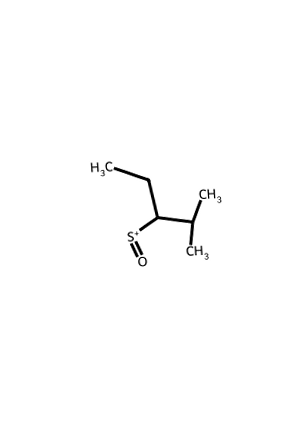 CCC([S+]=O)C(C)C